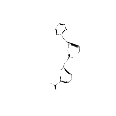 NC(=O)c1ccc(-c2nc(-c3ccccc3)cs2)s1